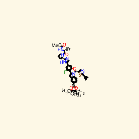 COC(=O)N[C@H](C(=O)N1CCC[C@H]1c1ncc(-c2cc(F)c3c(c2)O[C@@H](c2cnc(C4CC4)s2)n2c-3cc3cc(B4OC(C)(C)C(C)(C)O4)ccc32)[nH]1)C(C)C